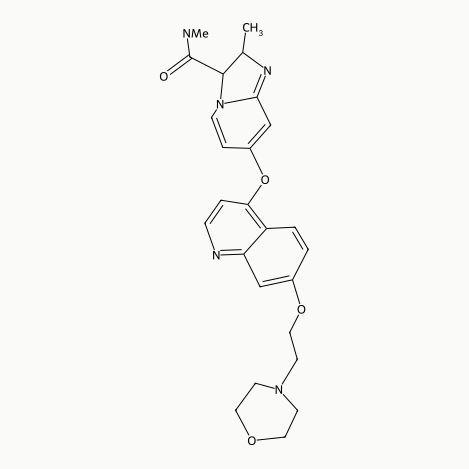 CNC(=O)C1C(C)N=C2C=C(Oc3ccnc4cc(OCCN5CCOCC5)ccc34)C=CN21